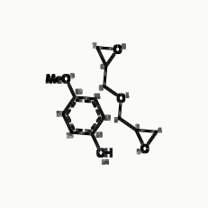 C(OCC1CO1)C1CO1.COc1ccc(O)cc1